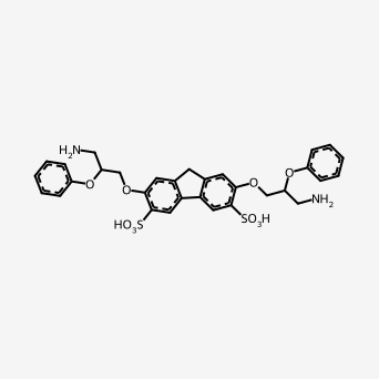 NCC(COc1cc2c(cc1S(=O)(=O)O)-c1cc(S(=O)(=O)O)c(OCC(CN)Oc3ccccc3)cc1C2)Oc1ccccc1